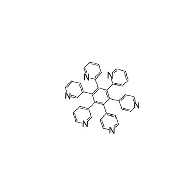 c1ccc(-c2c(-c3ccncc3)c(-c3ccncc3)c(-c3cccnc3)c(-c3cccnc3)c2-c2ccccn2)nc1